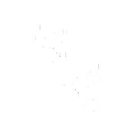 CC(C)(C)OC(=O)NC[C@H]1C[C@H](OC(=O)N2CCc3ccccc3[C@@H]2c2ccc(F)cc2)C1